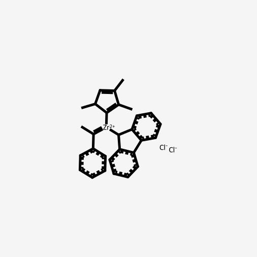 CC1=CC(C)[C](/[Zr+2](=[C](\C)c2ccccc2)[CH]2c3ccccc3-c3ccccc32)=C1C.[Cl-].[Cl-]